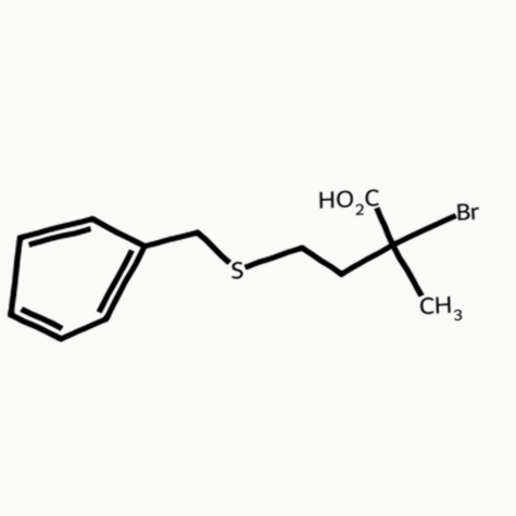 CC(Br)(CCSCc1ccccc1)C(=O)O